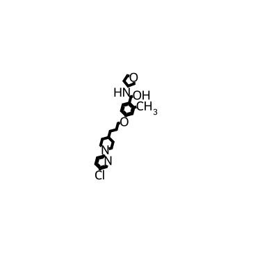 Cc1cc(OCCCC2CCN(c3ccc(Cl)cn3)CC2)ccc1C(O)N[C@@H]1CCOC1